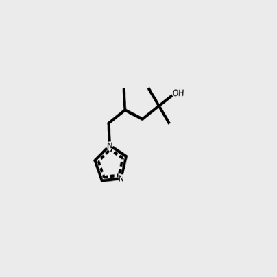 CC(Cn1ccnc1)CC(C)(C)O